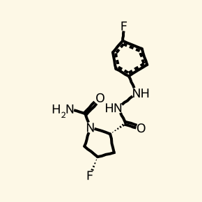 NC(=O)N1C[C@@H](F)C[C@H]1C(=O)NNc1ccc(F)cc1